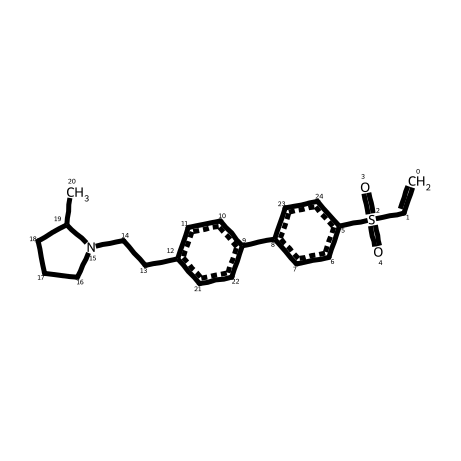 C=CS(=O)(=O)c1ccc(-c2ccc(CCN3CCCC3C)cc2)cc1